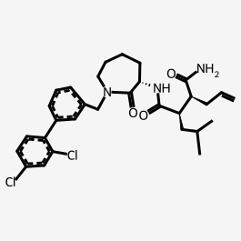 C=CC[C@H](C(N)=O)[C@@H](CC(C)C)C(=O)N[C@H]1CCCCN(Cc2cccc(-c3ccc(Cl)cc3Cl)c2)C1=O